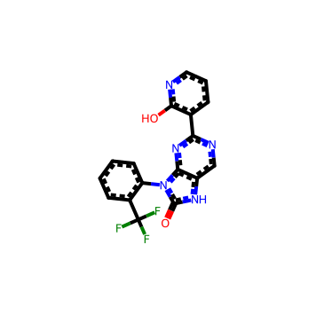 O=c1[nH]c2cnc(-c3cccnc3O)nc2n1-c1ccccc1C(F)(F)F